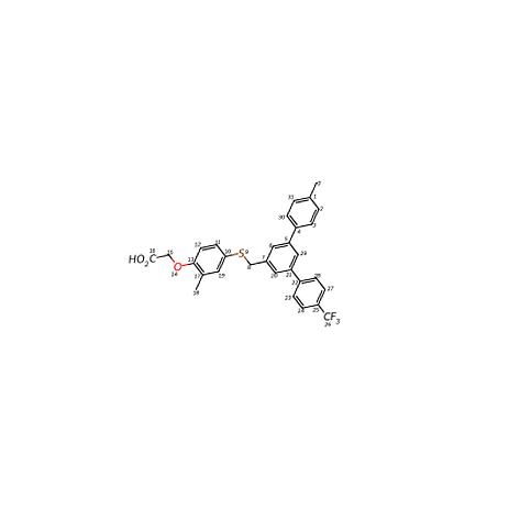 Cc1ccc(-c2cc(CSc3ccc(OCC(=O)O)c(C)c3)cc(-c3ccc(C(F)(F)F)cc3)c2)cc1